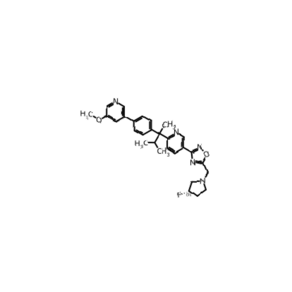 COc1cncc(-c2ccc(C(C)(c3ccc(-c4noc(CN5CC[C@H](F)C5)n4)cn3)C(C)C)cc2)c1